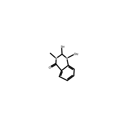 CN1C(=O)c2ccccc2N(O)C1S